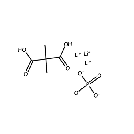 CC(C)(C(=O)O)C(=O)O.O=P([O-])([O-])[O-].[Li+].[Li+].[Li+]